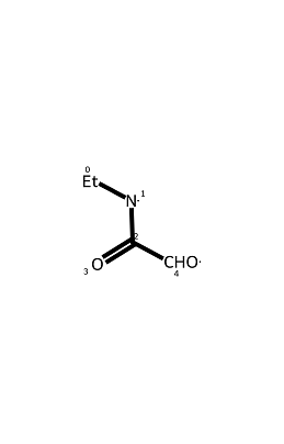 CC[N]C(=O)[C]=O